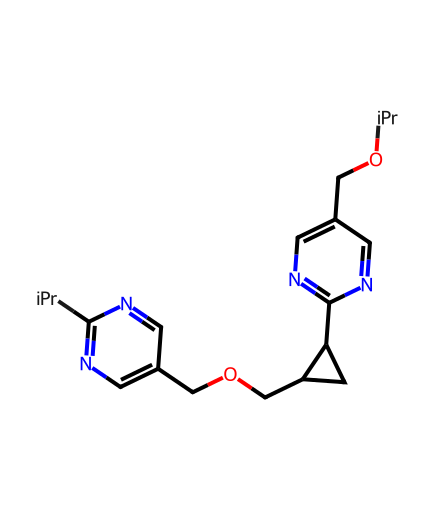 CC(C)OCc1cnc(C2CC2COCc2cnc(C(C)C)nc2)nc1